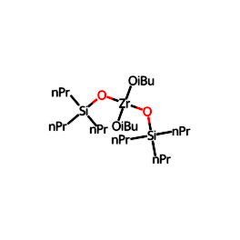 CCC[Si](CCC)(CCC)[O][Zr]([O]CC(C)C)([O]CC(C)C)[O][Si](CCC)(CCC)CCC